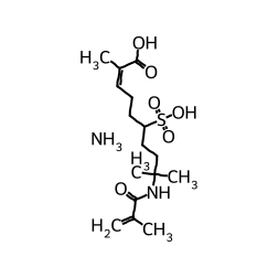 C=C(C)C(=O)NC(C)(C)CCC(CCC=C(C)C(=O)O)S(=O)(=O)O.N